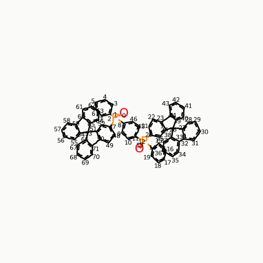 O=P(c1ccccc1)(c1ccc(P(=O)(c2ccccc2)c2ccc3c(c2)C2(c4ccccc4-c4ccccc42)c2ccccc2-3)cc1)c1ccc2c(c1)C1(c3ccccc3-c3ccccc31)c1ccccc1-2